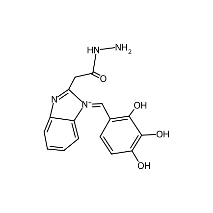 NNC(=O)CC1=Nc2ccccc2[N+]1=Cc1ccc(O)c(O)c1O